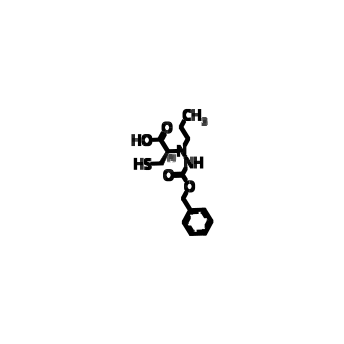 CCCN(NC(=O)OCc1ccccc1)[C@@H](CS)C(=O)O